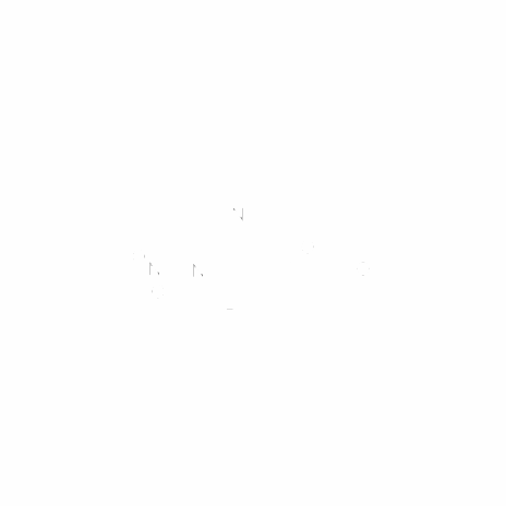 O=[N+]([O-])c1ccc(N2CCCC2c2cc(F)ccc2O[C@@H]2CCOC2)cn1